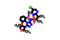 COc1cccc(OC)c1-n1c(NS(=O)(=O)[C@@H](C)[C@H](C)c2ncc(Cl)cn2)nnc1[C@@H]1CCO[C@@H]1C